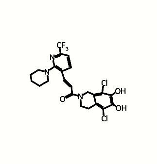 O=C(C=Cc1ccc(C(F)(F)F)nc1N1CCCCC1)N1CCc2c(Cl)c(O)c(O)c(Cl)c2C1